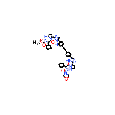 COC(=O)N[C@@H](C(=O)N1CCC[C@H]1c1ncc(-c2ccc(C#Cc3ccc(-c4cnc([C@@H]5CCCN5C(=O)[C@H](NC(=O)N5CCOCC5)c5ccccc5)[nH]4)cc3)cc2)[nH]1)c1ccccc1